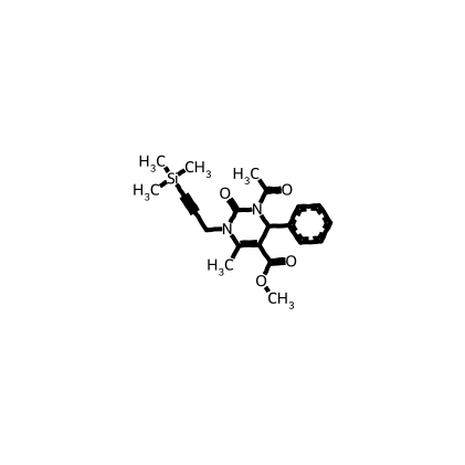 COC(=O)C1=C(C)N(CC#C[Si](C)(C)C)C(=O)N(C(C)=O)C1c1ccccc1